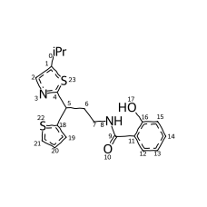 CC(C)c1cnc(C(CCNC(=O)c2ccccc2O)c2cccs2)s1